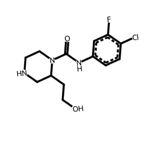 O=C(Nc1ccc(Cl)c(F)c1)N1CCNCC1CCO